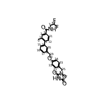 Cc1cc(C(=O)NCC(F)F)ccc1-c1cccc(COc2ccc(Cn3oc(=O)[nH]c3=O)cc2)c1